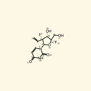 C=C[C@]1(F)[C@H](n2ccc(=O)[nH]c2=O)O[C@](F)(CO)[C@H]1O